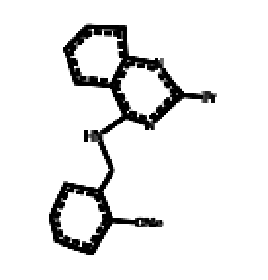 COc1ccccc1CNc1nc(C(C)C)nc2ccccc12